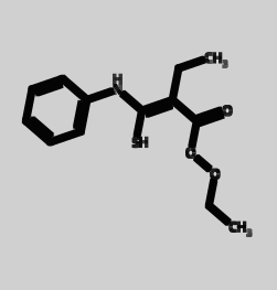 CCOOC(=O)/C(CC)=C(\S)Nc1ccccc1